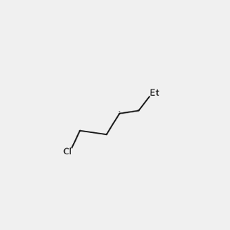 CCC[CH]CCCl